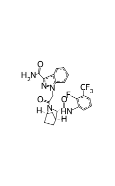 NC(=O)c1nn(CC(=O)N2[C@@H]3CC[C@@H](C3)[C@H]2C(=O)Nc2cccc(C(F)(F)F)c2F)c2ccccc12